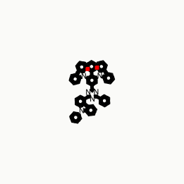 c1ccc(-c2nc(-c3cc(-n4c5ccccc5c5ccccc54)c(-c4ccccc4)c(-n4c5ccccc5c5ccccc54)c3)nc(-c3cccc4c3c3ccccc3n4-c3ccccc3)n2)cc1